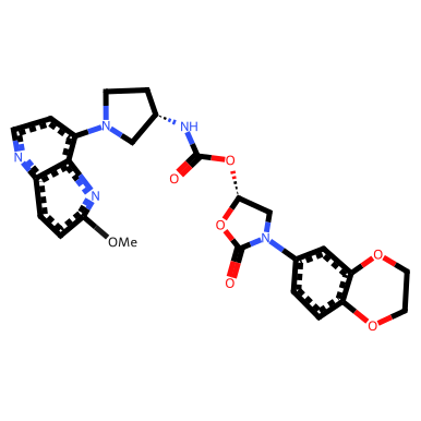 COc1ccc2nccc(N3CC[C@H](NC(=O)O[C@@H]4CN(c5ccc6c(c5)OCCO6)C(=O)O4)C3)c2n1